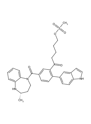 C[C@H]1CCN(C(=O)c2ccc(-c3ccc4[nH]ccc4c3)c(C(=O)CCCCOS(C)(=O)=O)c2)c2ccccc2N1